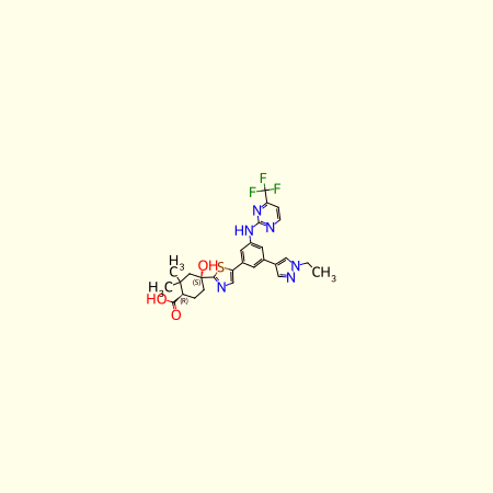 CCn1cc(-c2cc(Nc3nccc(C(F)(F)F)n3)cc(-c3cnc([C@]4(O)CC[C@@H](C(=O)O)C(C)(C)C4)s3)c2)cn1